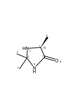 C[C@@H]1NC(C)(C)NC1=O